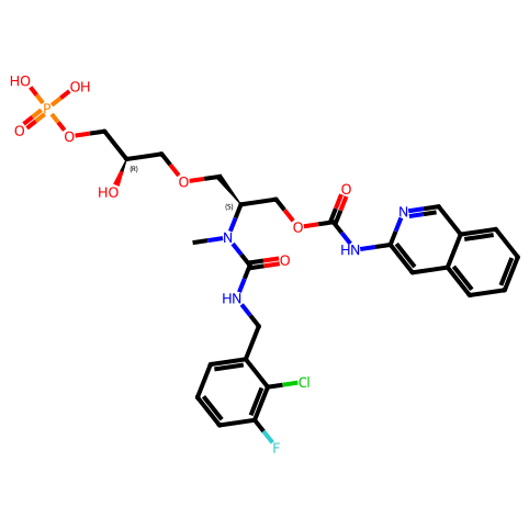 CN(C(=O)NCc1cccc(F)c1Cl)[C@@H](COC[C@@H](O)COP(=O)(O)O)COC(=O)Nc1cc2ccccc2cn1